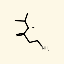 C=C(CCN)[C@@H](C)C(C)C